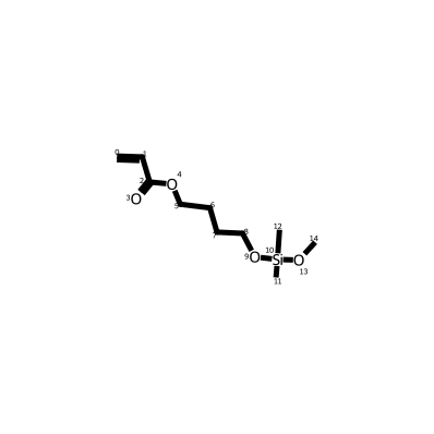 C=CC(=O)OCCCCO[Si](C)(C)OC